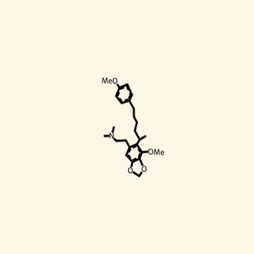 COc1ccc(CCCCC(C)c2c(CCN(C)C)cc3c(c2OC)OCO3)cc1